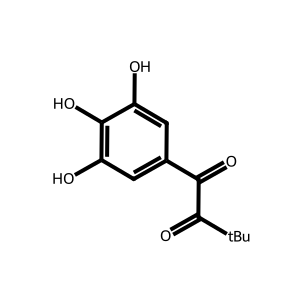 CC(C)(C)C(=O)C(=O)c1cc(O)c(O)c(O)c1